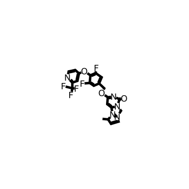 CC1C=CN2Cn3c(cc(OCc4cc(F)c(Oc5ccnc(C(F)(F)F)c5)c(F)c4)nc3=O)N12